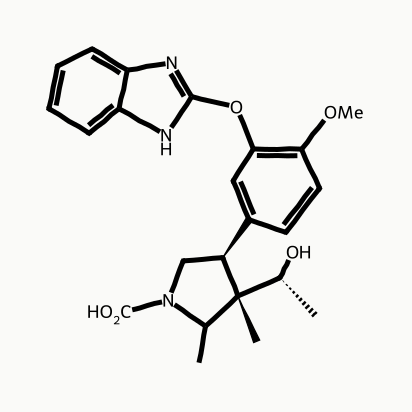 COc1ccc([C@@H]2CN(C(=O)O)C(C)[C@@]2(C)[C@@H](C)O)cc1Oc1nc2ccccc2[nH]1